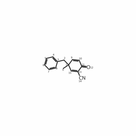 CC1(Cc2ccccc2)C=CC(=O)C(C#N)=C1